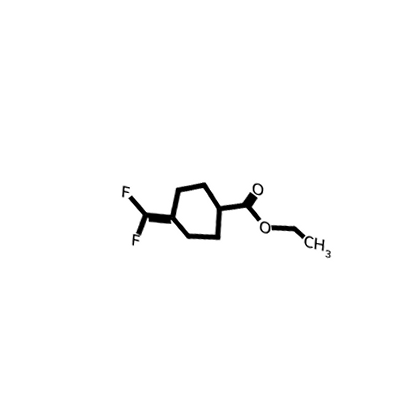 CCOC(=O)C1CCC(=C(F)F)CC1